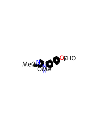 COCc1nccc(N[C@H]2CC[C@@H](c3ccc(OCC=O)cc3)CC2)c1OC